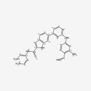 N=Cc1ccc(Nc2nccc(-c3ccc4cc(C(=O)NC(/C=C\N)=C/N)[nH]c4c3)n2)cc1N